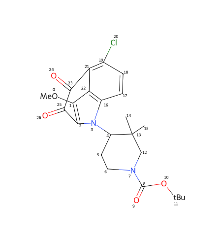 COc1c2n(C3CCN(C(=O)OC(C)(C)C)CC3(C)C)c3ccc(Cl)c(c13)C(=O)C2=O